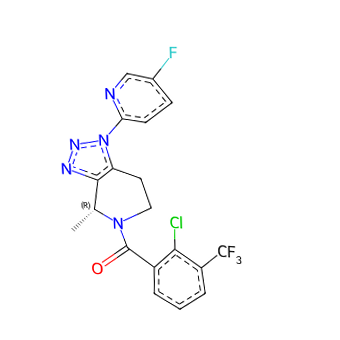 C[C@@H]1c2nnn(-c3ccc(F)cn3)c2CCN1C(=O)c1cccc(C(F)(F)F)c1Cl